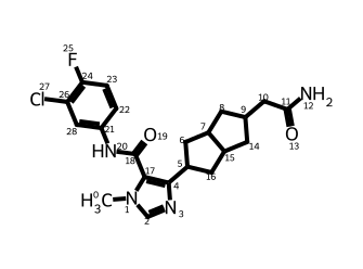 Cn1cnc(C2CC3CC(CC(N)=O)CC3C2)c1C(=O)Nc1ccc(F)c(Cl)c1